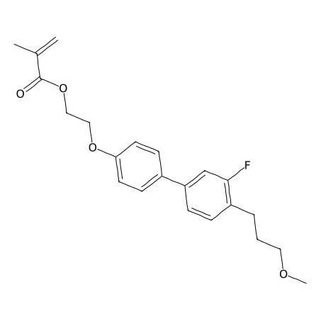 C=C(C)C(=O)OCCOc1ccc(-c2ccc(CCCOC)c(F)c2)cc1